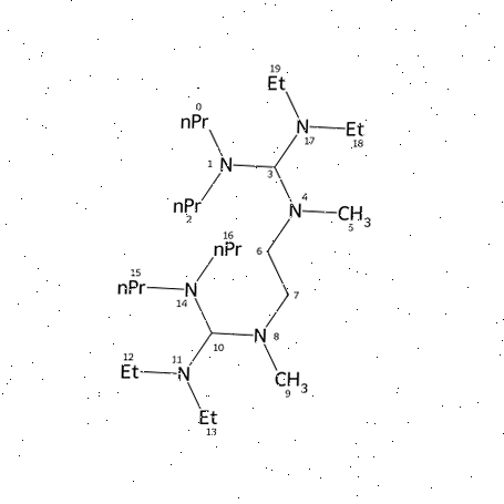 CCCN(CCC)C(N(C)CCN(C)C(N(CC)CC)N(CCC)CCC)N(CC)CC